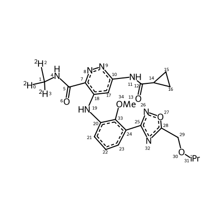 [2H]C([2H])([2H])NC(=O)c1nnc(NC(=O)C2CC2)cc1Nc1cccc(-c2noc(COC(C)C)n2)c1OC